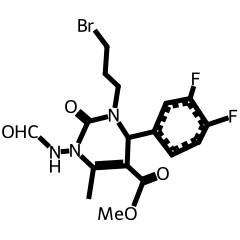 COC(=O)C1=C(C)N(NC=O)C(=O)N(CCCBr)C1c1ccc(F)c(F)c1